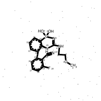 COCCNC1=NS(O)(O)c2cccc(-c3cccc(F)c3C#N)c2N1